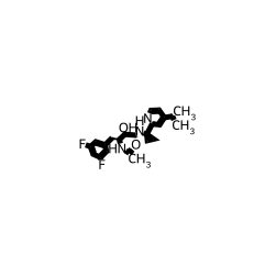 CC(=O)N[C@@H](Cc1cc(F)cc(F)c1)[C@H](O)CNC1(c2cc(C(C)C)ccn2)CC1